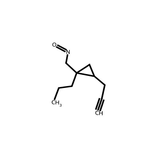 C#CCC1CC1(CCC)CN=O